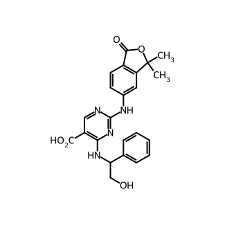 CC1(C)OC(=O)c2ccc(Nc3ncc(C(=O)O)c(NC(CO)c4ccccc4)n3)cc21